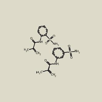 C=C(C)C(=O)Nc1cccc(S(N)(=O)=O)c1.C=C(C)C(=O)Nc1ccccc1S(N)(=O)=O